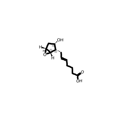 O=C(O)CCCC=CC[C@@H]1[C@@H]2O[C@@H]2C[C@@H]1O